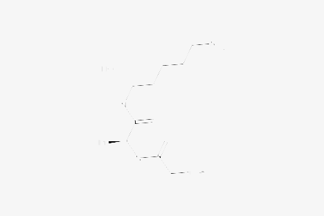 CCCCCCCCCCCC(=O)N[C@H](C(=O)N[C@@H](CCCCN)C(=O)O)C(C)C